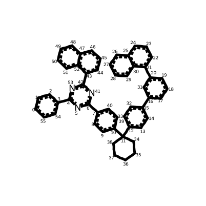 c1ccc(-c2nc(-c3ccc(C4(c5ccc(-c6cccc(-c7cccc8ccccc78)c6)cc5)CCCCC4)cc3)nc(-c3cccc4ccccc34)n2)cc1